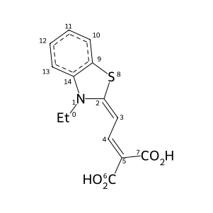 CCN1/C(=C\C=C(C(=O)O)C(=O)O)Sc2ccccc21